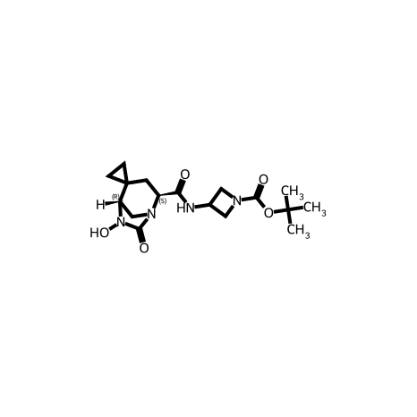 CC(C)(C)OC(=O)N1CC(NC(=O)[C@@H]2CC3(CC3)[C@@H]3CN2C(=O)N3O)C1